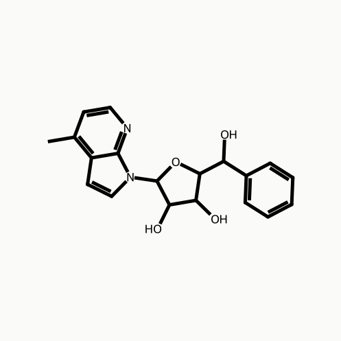 Cc1ccnc2c1ccn2C1OC(C(O)c2ccccc2)C(O)C1O